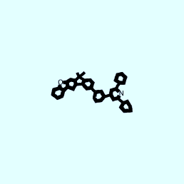 CC1(C)c2ccc(-c3cccc(-c4cc(-c5ccccc5)nc(-c5ccccc5)c4)c3)cc2-c2cc3c(cc21)oc1ccccc13